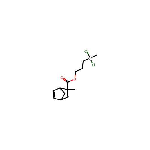 CC1(C(=O)OCCC[Si](C)(Cl)Cl)CC2C=CC1C2